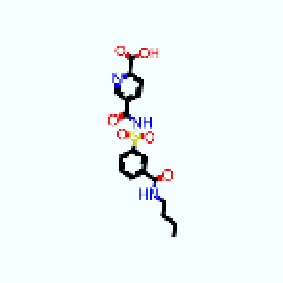 CCCCNC(=O)c1cccc(S(=O)(=O)NC(=O)c2ccc(C(=O)O)nc2)c1